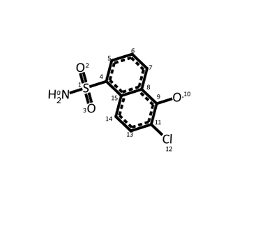 NS(=O)(=O)c1cccc2c([O])c(Cl)ccc12